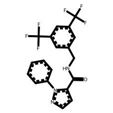 O=C(NCc1cc(C(F)(F)F)cc(C(F)(F)F)c1)c1ccnn1-c1ccccc1